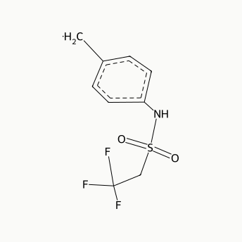 [CH2]c1ccc(NS(=O)(=O)CC(F)(F)F)cc1